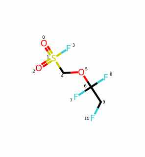 O=S(=O)(F)COC(F)(F)CF